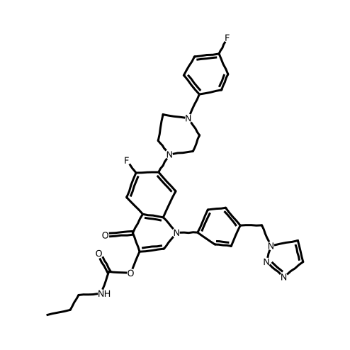 CCCNC(=O)Oc1cn(-c2ccc(Cn3ccnn3)cc2)c2cc(N3CCN(c4ccc(F)cc4)CC3)c(F)cc2c1=O